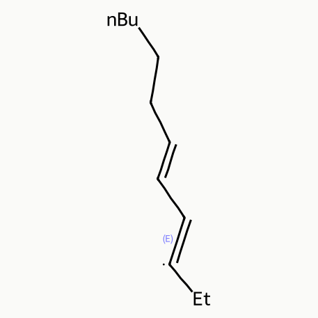 CC/[C]=C/C=CCCCCCC